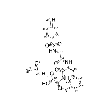 CC(=O)Br.Cc1ccc(S(=O)(=O)NCC(=O)N[C@@H](Cc2ccccc2)C(=O)N[C@@H](C)C(=O)O)cc1